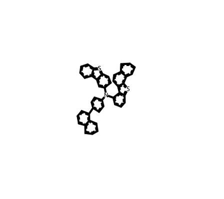 c1ccc2c(-c3ccc(N(c4ccc5sc6ccccc6c5c4)c4cccc5sc6c7ccccc7ccc6c45)cc3)cccc2c1